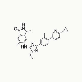 CCn1nc(-c2ccc(-c3ccc(C4CC4)nc3)c(C)c2)nc1Nc1cc2c(cc1C)C(=O)NC2C